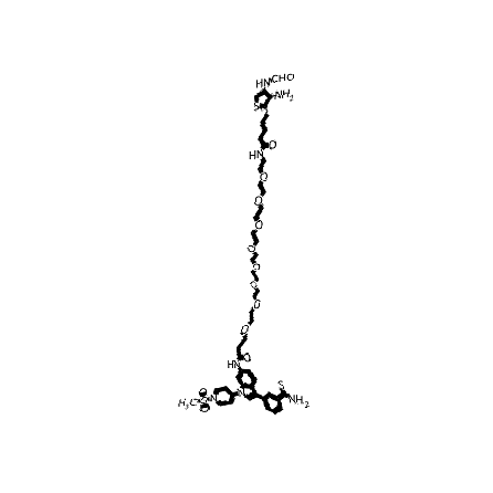 CS(=O)(=O)N1CCC(n2cc(-c3cccc(C(N)=S)c3)c3ccc(NC(=O)CCOCCOCCOCCOCCOCCOCCOCCOCCNC(=O)CCCC[C@@H]4SC[C@H](NC=O)[C@@H]4N)cc32)CC1